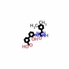 Cc1ccc(C2=NNC(=O)C2=NNc2cccc(-c3cccc(C(=O)O)c3)c2O)cc1C